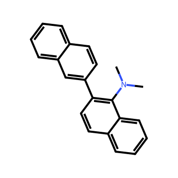 CN(C)c1c(-c2ccc3ccccc3c2)ccc2ccccc12